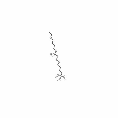 CCOCCCCO[SiH2]SSSSCCC[Si](OC)(OC)OC